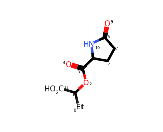 CCC(OC(=O)C1CCC(=O)N1)C(=O)O